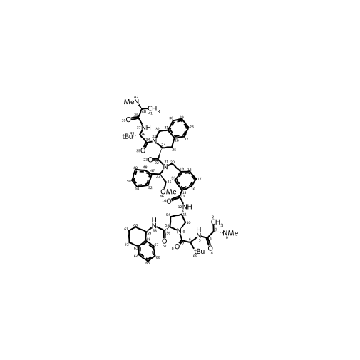 CN[C@@H](C)C(=O)NC(C(=O)N1C[C@@H](NC(=O)c2cccc(CN(C(=O)[C@@H]3Cc4ccccc4CN3C(=O)[C@@H](NC(=O)[C@H](C)NC)C(C)(C)C)[C@@H](COC)c3ccccc3)c2)C[C@H]1C(=O)N[C@@H]1CCCc2ccccc21)C(C)(C)C